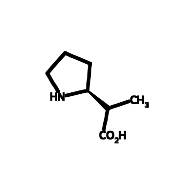 CC(C(=O)O)[C@@H]1CCCN1